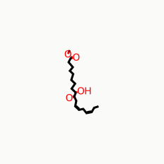 CC/C=C\C/C=C\CC(=O)C(O)CCCCCCCC(=O)OC